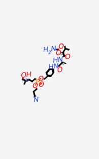 C/C(=C\CCP(=O)(OCCC#N)OCc1ccc(NC(=O)[C@H](C)NC(=O)[C@@H](OC(N)=O)C(C)C)cc1)CO